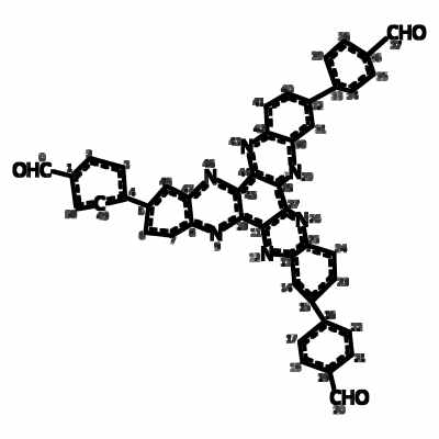 O=Cc1ccc(-c2ccc3nc4c5nc6cc(-c7ccc(C=O)cc7)ccc6nc5c5nc6cc(-c7ccc(C=O)cc7)ccc6nc5c4nc3c2)cc1